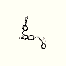 N#Cc1ccc(CN2CC3(CCN(CC[C@H](N)c4ccccc4)CC3)CC2=O)cc1